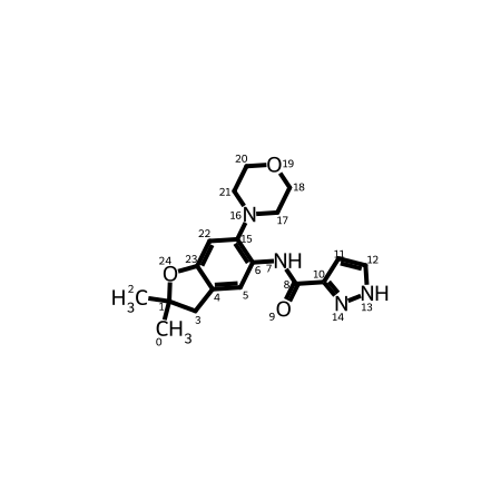 CC1(C)Cc2cc(NC(=O)c3cc[nH]n3)c(N3CCOCC3)cc2O1